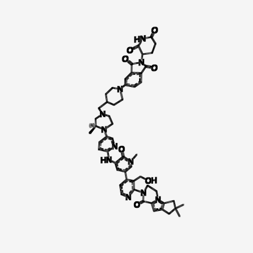 C[C@H]1CN(CC2CCN(c3ccc4c(c3)C(=O)N(C3CCC(=O)NC3=O)C4=O)CC2)CCN1c1ccc(Nc2cc(-c3ccnc(N4CCn5c(cc6c5CC(C)(C)C6)C4=O)c3CO)cn(C)c2=O)nc1